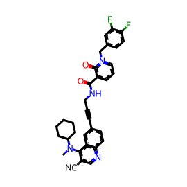 CN(c1c(C#N)cnc2ccc(C#CCNC(=O)c3cccn(Cc4ccc(F)c(F)c4)c3=O)cc12)C1CCCCC1